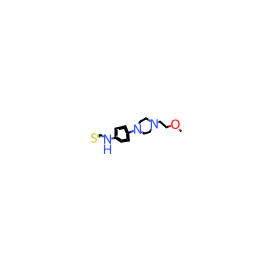 COCCN1CCN(c2ccc(NC=S)cc2)CC1